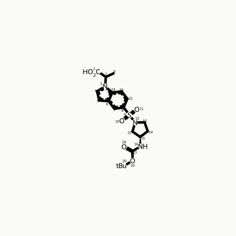 CC(C(=O)O)n1ccc2cc(S(=O)(=O)N3CC[C@@H](NC(=O)OC(C)(C)C)C3)ccc21